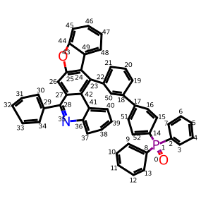 O=P(c1ccccc1)(c1ccccc1)c1ccc(-c2cccc(-c3c4c(cc5c(-c6ccccc6)nc6ccccc6c35)oc3ccccc34)c2)cc1